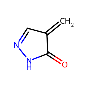 C=C1C=NNC1=O